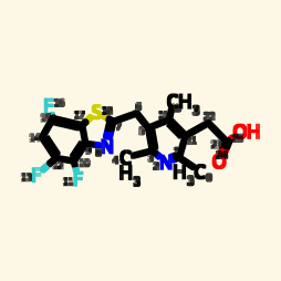 Cc1nc(C)c(Cc2nc3c(F)c(F)cc(F)c3s2)c(C)c1CC(=O)O